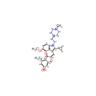 COc1ccc2c(c1)c(C=C1Oc3cc(O)cc(C)c3C1=O)c(C1CC1)n2CCN1CCN(C)CC1